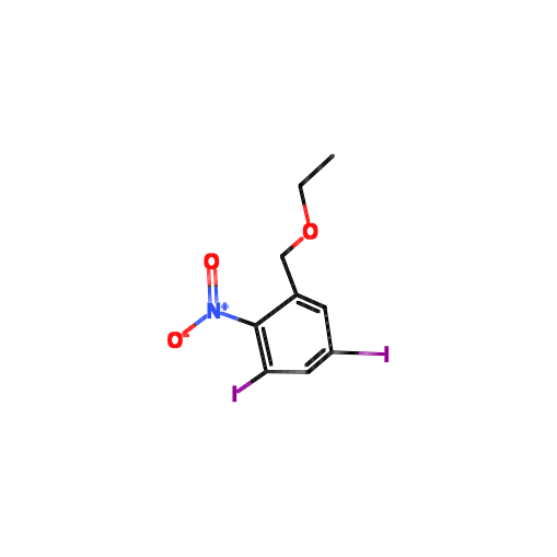 CCOCc1cc(I)cc(I)c1[N+](=O)[O-]